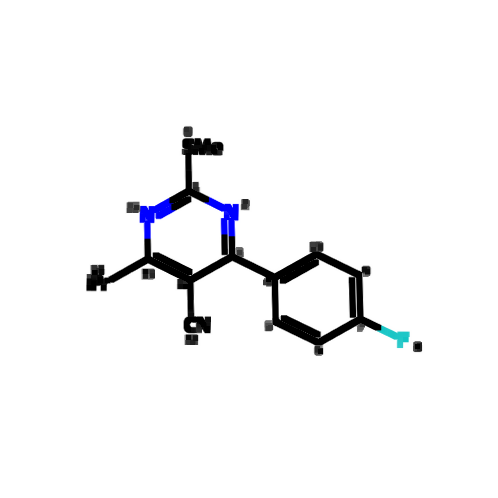 CSc1nc(-c2ccc(F)cc2)c(C#N)c(C(C)C)n1